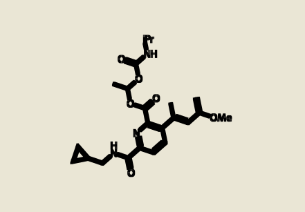 C=C(/C=C(\C)c1ccc(C(=O)NCC2CC2)nc1C(=O)OC(C)OC(=O)NC(C)C)OC